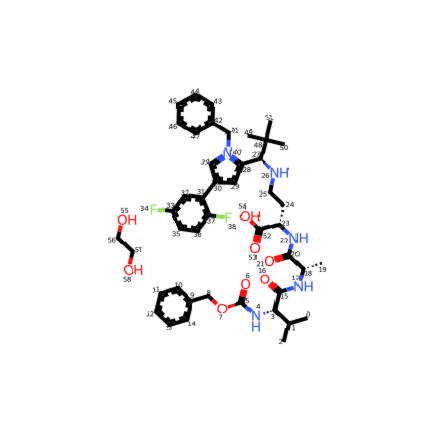 CC(C)[C@H](NC(=O)OCc1ccccc1)C(=O)N[C@@H](C)C(=O)N[C@@H](CCN[C@@H](c1cc(-c2cc(F)ccc2F)cn1Cc1ccccc1)C(C)(C)C)C(=O)O.OCCO